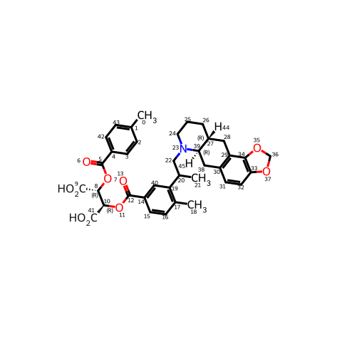 Cc1ccc(C(=O)O[C@@H](C(=O)O)[C@@H](OC(=O)c2ccc(C)c(C(C)CN3CCC[C@@H]4Cc5c(ccc6c5OCO6)C[C@H]43)c2)C(=O)O)cc1